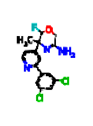 CC1(c2ccnc(-c3cc(Cl)cc(Cl)c3)c2)N=C(N)COC1F